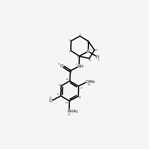 CCN1C2CCCC1(NC(=O)c1cc(Cl)c(NC(C)=O)cc1OC)CC2